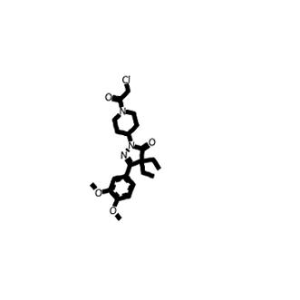 CCC1(CC)C(=O)N(C2CCN(C(=O)CCl)CC2)N=C1c1ccc(OC)c(OC)c1